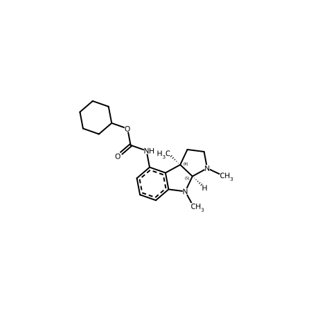 CN1CC[C@]2(C)c3c(NC(=O)OC4CCCCC4)cccc3N(C)[C@H]12